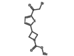 CC(C)(C)OC(=O)N1CC(c2ccc(C(=O)CBr)s2)C1